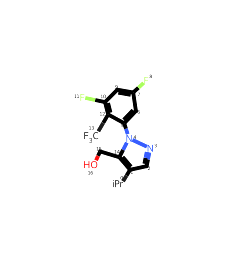 CC(C)c1cnn(-c2cc(F)cc(F)c2C(F)(F)F)c1CO